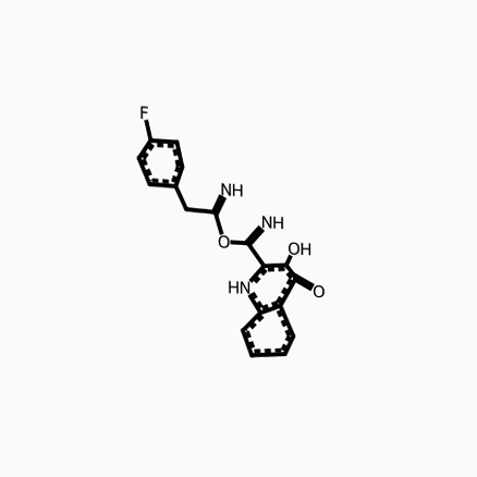 N=C(Cc1ccc(F)cc1)OC(=N)c1[nH]c2ccccc2c(=O)c1O